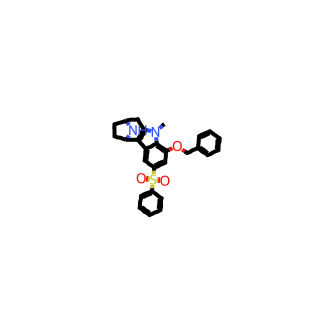 Cn1c2c(c3cc(S(=O)(=O)c4ccccc4)cc(OCc4ccccc4)c31)C1CCC(C2)N1